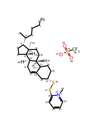 CC(C)CCCC(C)[C@H]1CC[C@H]2[C@@H]3CC=C4C[C@@H](SSc5cccc[n+]5C)CC[C@]4(C)[C@H]3CC[C@]12C.O=S(=O)([O-])C(F)(F)F